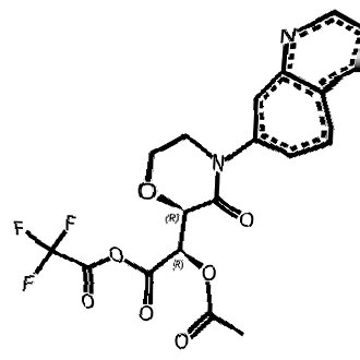 CC(=O)O[C@@H](C(=O)OC(=O)C(F)(F)F)[C@H]1OCCN(c2ccc3cccnc3c2)C1=O